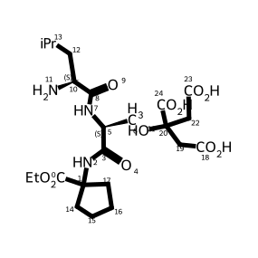 CCOC(=O)C1(NC(=O)[C@H](C)NC(=O)[C@@H](N)CC(C)C)CCCC1.O=C(O)CC(O)(CC(=O)O)C(=O)O